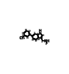 CNCc1c[nH]c2cc(-c3cccc(Cl)c3)ccc12